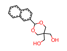 OCC1(CO)COC(c2ccc3ccccc3c2)OC1